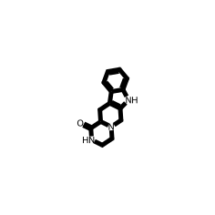 O=C1NCCN2Cc3[nH]c4ccccc4c3CC12